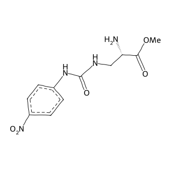 COC(=O)[C@@H](N)CNC(=O)Nc1ccc([N+](=O)[O-])cc1